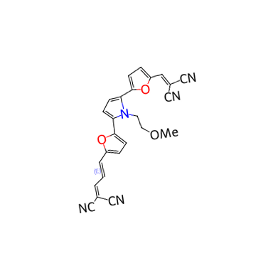 COCCn1c(-c2ccc(C=C(C#N)C#N)o2)ccc1-c1ccc(/C=C/C=C(C#N)C#N)o1